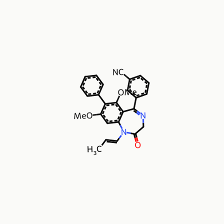 CC=CN1C(=O)CN=C(c2cccc(C#N)c2)c2c1cc(OC)c(-c1ccccc1)c2OC